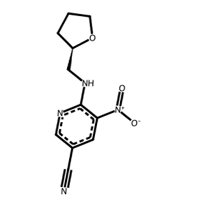 N#Cc1cnc(NC[C@H]2CCCO2)c([N+](=O)[O-])c1